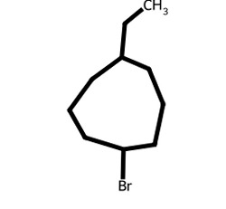 CCC1CCCC(Br)CCC1